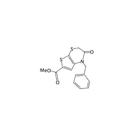 COC(=O)c1cc2c(s1)SCC(=O)N2Cc1ccccc1